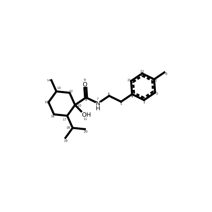 Cc1ccc(CCNC(=O)C2(O)CC(C)CCC2C(C)C)cc1